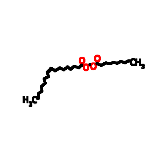 CCCCCCCC/C=C\CCCCCCCC(=O)OCOC(=O)CCCCCCCCC